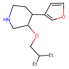 CCC(CC)COC1CNCCC1c1ccoc1